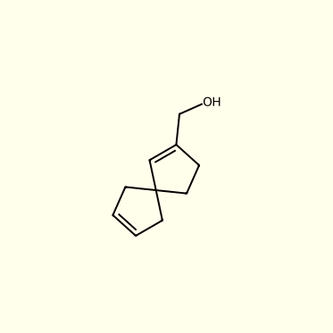 OCC1=CC2(CC=CC2)CC1